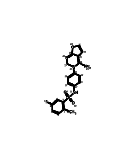 Cc1ccc(F)cc1S(=O)(=O)Nc1ccc(N2CN=c3occc3=C2N)cc1